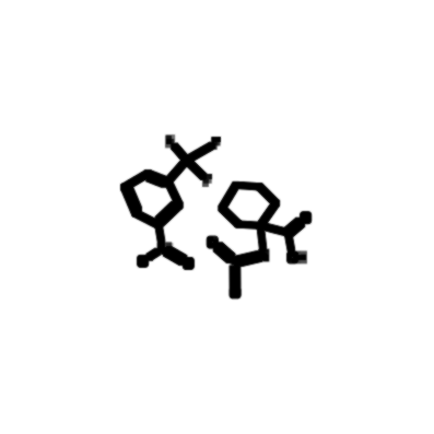 O=C(O)C1(N=S(=O)=O)CCCCC1.O=[N+]([O-])c1cccc(C(F)(F)F)c1